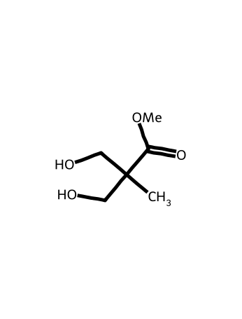 COC(=O)C(C)(CO)CO